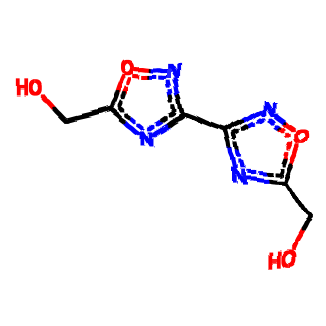 OCc1nc(-c2noc(CO)n2)no1